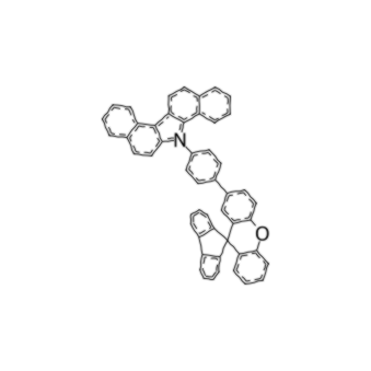 c1ccc2c(c1)Oc1ccc(-c3ccc(-n4c5ccc6ccccc6c5c5ccc6ccccc6c54)cc3)cc1C21c2ccccc2-c2ccccc21